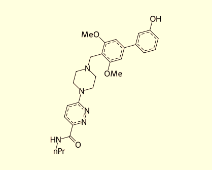 CCCNC(=O)c1ccc(N2CCN(Cc3c(OC)cc(-c4cccc(O)c4)cc3OC)CC2)nn1